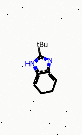 CC(C)(C)c1nc2c([nH]1)=CCCC=2